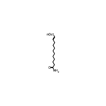 CCCCCCCCC=CCCCCCCCCCC(N)=O